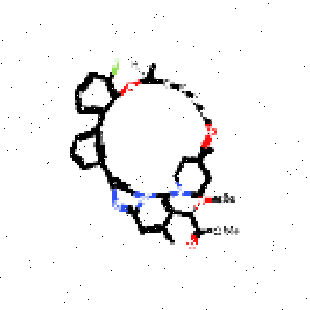 COC(=O)[C@@H](OC(C)(C)C)c1c(C)cc2nc3cn2c1N1CCC(C)(CC1)OCCCC[C@H](C)Oc1c(F)cccc1-c1cccc-3c1